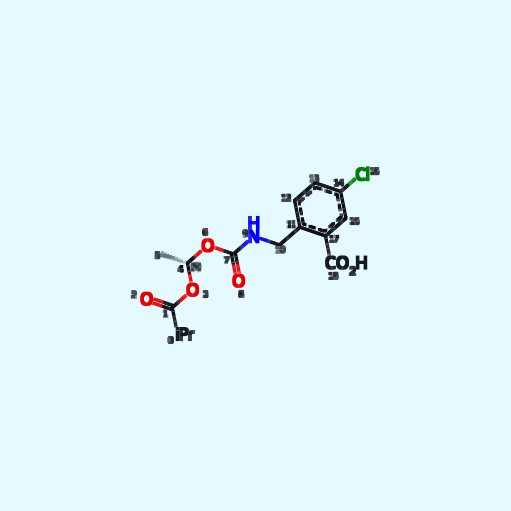 CC(C)C(=O)O[C@H](C)OC(=O)NCc1ccc(Cl)cc1C(=O)O